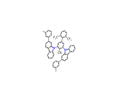 Cc1cccc(-c2ccc3c4ccccc4n(-c4cc(-c5c(C(F)(F)F)cccc5C(F)(F)F)cc(-n5c6ccccc6c6ccc(-c7cccc(C)c7)cc65)c4C#N)c3c2)c1